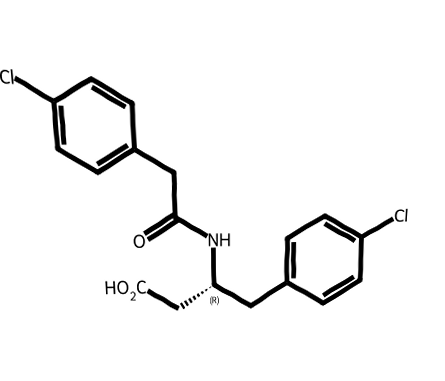 O=C(O)C[C@@H](Cc1ccc(Cl)cc1)NC(=O)Cc1ccc(Cl)cc1